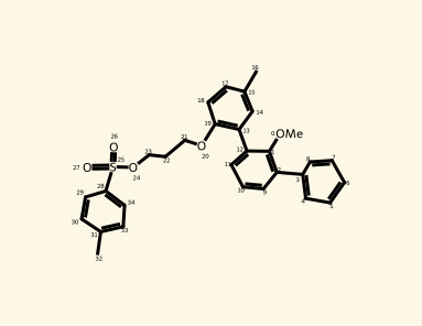 COc1c(-c2ccccc2)cccc1-c1cc(C)ccc1OCCCOS(=O)(=O)c1ccc(C)cc1